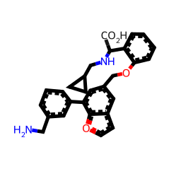 NCc1cccc(-c2cc(COc3ccccc3C(NCC3CC3)C(=O)O)cc3ccoc23)c1